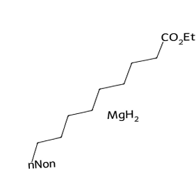 CCCCCCCCCCCCCCCCCC(=O)OCC.[MgH2]